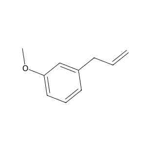 C=CCc1cccc(OC)c1